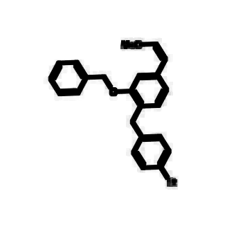 CCc1ccc(Cc2ccc(/C=C\OC)cc2OCc2ccccc2)cc1